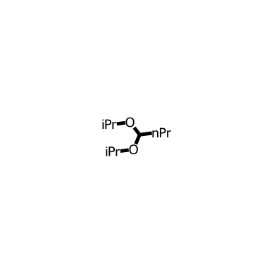 CCCC(OC(C)C)OC(C)C